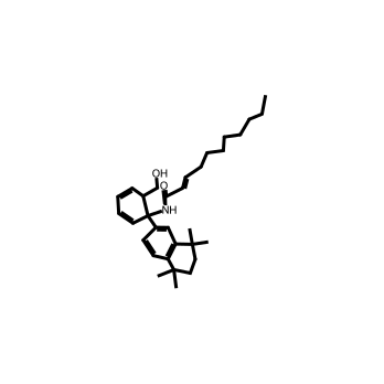 CCCCCCCCC=CC(=O)NC1(c2ccc3c(c2)C(C)(C)CCC3(C)C)C=CC=CC1CO